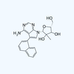 CC1(O)C(O)[C@@H](CO)O[C@H]1n1cc(-c2cccc3ccccc23)c2c(N)ncnc21